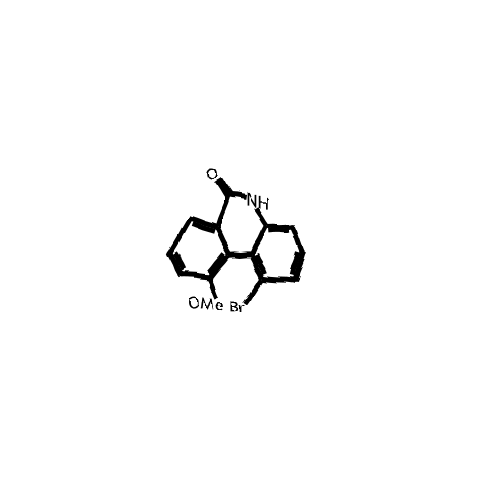 COc1cccc2c(=O)[nH]c3cccc(Br)c3c12